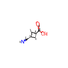 N#C[C@H]1C[C@@H](C(=O)O)C1